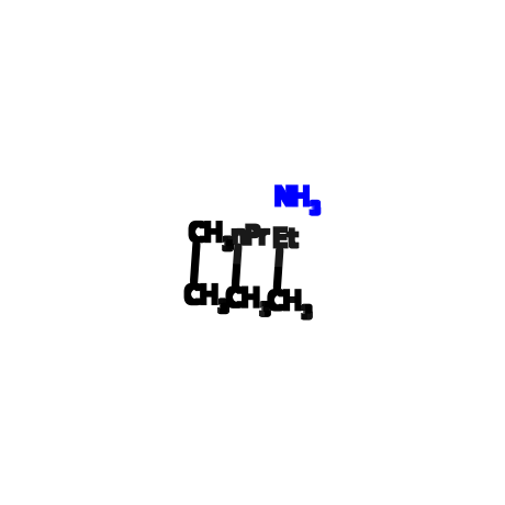 CC.CCC.CCCC.N